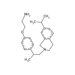 CC(C)c1ccc2c(c1)CN(CC(C)c1ccc(OCCN)cc1)CC2